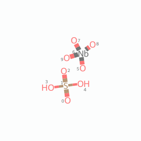 O=S(=O)(O)O.[O]=[Nb](=[O])(=[O])=[O]